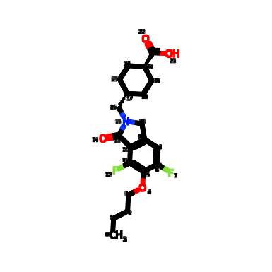 CCCCOc1c(F)cc2c(c1F)C(=O)N(C[C@H]1CC[C@H](C(=O)O)CC1)C2